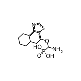 NC(OC1=c2scnc2=C2CCCCC2C1)P(=O)(O)O